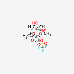 CO[C@@]1(C)O[C@H]2[C@H](O[C@]1(C)CO)[C@H](C)OC[C@@H]2OS(=O)(=O)C(F)(F)F